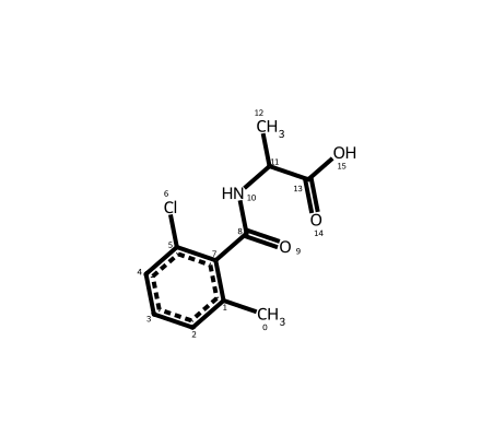 Cc1cccc(Cl)c1C(=O)NC(C)C(=O)O